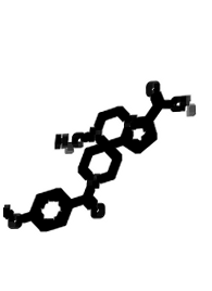 CN1CCn2c(C(=O)C(F)(F)F)ccc2C12CCN(C(=O)c1ccc(OC(C)(C)C)cc1)CC2